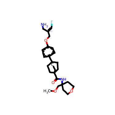 COCC1(NC(=O)C23CCC(c4ccc(OC/C(=C/F)CN)cc4)(CC2)CC3)CCOCC1